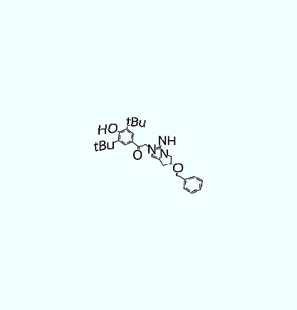 CC(C)(C)c1cc(C(=O)Cn2cc3n(c2=N)CC(OCc2ccccc2)C3)cc(C(C)(C)C)c1O